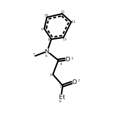 CCC(=O)CC(=O)N(C)c1ccccc1